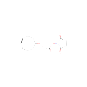 O=C(COC1CC/C=C\CCC1)ON1C(=O)CCC1=O